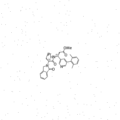 COC(=O)C[C@H](NC(=O)[C@H](CC(C)C)N1Cc2ccccc2C1=O)c1cncc(-c2c(C)cccc2C)c1